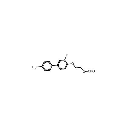 Cc1ccc(-c2ccc(OCCOC=O)c(F)c2)cc1